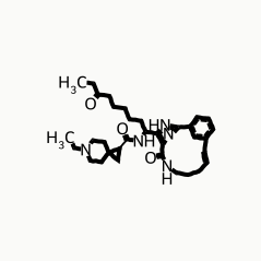 CCC(=O)CCCCCC(NC(=O)[C@H]1CC12CCN(CC)CC2)c1[nH]c2nc1C(=O)NCCC/C=C/c1cccc-2c1